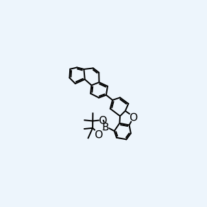 CC1(C)OB(c2cccc3c2C2C=C(c4ccc5c(ccc6ccccc65)c4)C=CC2O3)OC1(C)C